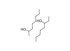 CCCCCC(O)CC.CCCCCCC(C)O